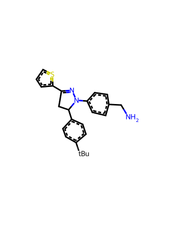 CC(C)(C)c1ccc(C2CC(c3cccs3)=NN2c2ccc(CN)cc2)cc1